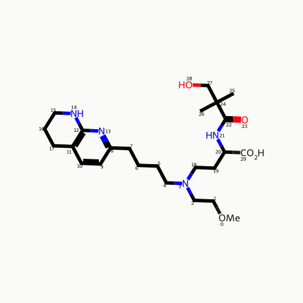 COCCN(CCCCc1ccc2c(n1)NCCC2)CCC(NC(=O)C(C)(C)CO)C(=O)O